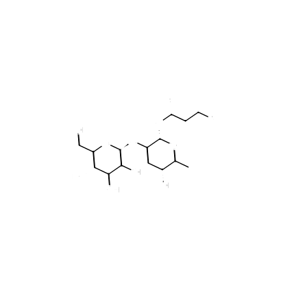 CC(=O)CC[C@@H](C)O[C@@H]1OC(C)[C@H](O)CC1O[C@@H]1OC(CO)[C@@H](O)C(O)C1O